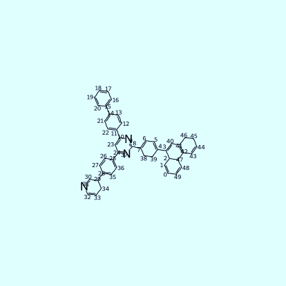 C1=CC2C(C3=CC=C(c4nc(-c5ccc(-c6ccccc6)cc5)cc(-c5ccc(C6C=NC=CC6)cc5)n4)CC3)=CC3=C(C=CCC3)C2C=C1